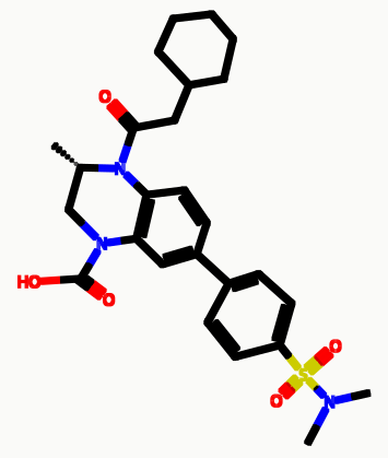 C[C@H]1CN(C(=O)O)c2cc(-c3ccc(S(=O)(=O)N(C)C)cc3)ccc2N1C(=O)CC1CCCCC1